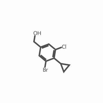 OCc1cc(Cl)c(C2CC2)c(Br)c1